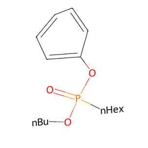 CCCCCCP(=O)(OCCCC)Oc1ccccc1